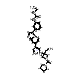 N#CCC1(N/C=C(\C=N)c2cnn3c(-c4cccc(NC(=O)NCC(F)(F)F)c4)cnc3c2)CN(C(=O)N2CCCC2)C1